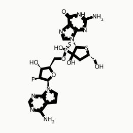 Nc1nc2c(ncn2[C@@H]2S[C@H](CO)CC2(O)P(O)(=S)OC[C@H]2O[C@@H](n3ccc4c(N)ncnc43)[C@@H](F)[C@@H]2O)c(=O)[nH]1